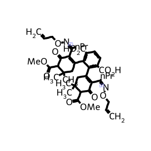 C=CCO/N=C(/CCC)C1=C(c2c(C(=O)O)ccc(C(=O)O)c2C2=C(/C(CCC)=N\OCC=C)C(=O)C(C(=O)OC)C(C)(C)C2)CC(C)(C)C(C(=O)OC)C1=O